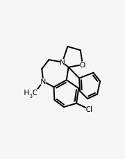 CN1CCN2CCOC2(c2ccccc2)c2cc(Cl)ccc21